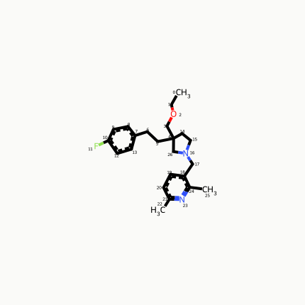 CCOCC1(CCc2ccc(F)cc2)CCN(Cc2ccc(C)nc2C)C1